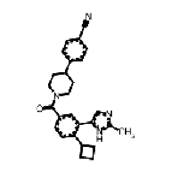 Cc1ncc(-c2cc(C(=O)N3CCC(c4ccc(C#N)cc4)CC3)ccc2C2CCC2)[nH]1